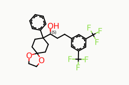 O[C@@H](CCc1cc(C(F)(F)F)cc(C(F)(F)F)c1)C1(c2ccccc2)CCC2(CC1)OCCO2